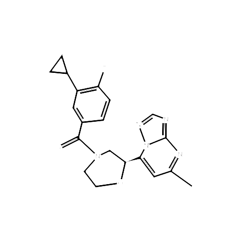 Cc1cc([C@@H]2CN(C(=O)c3ccc(F)c(C4CC4)c3)CCO2)n2ncnc2n1